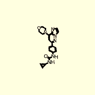 O=C(Nc1ccc(-c2cc(N3CCOCC3)c3nccn3n2)cc1)NC1CC1